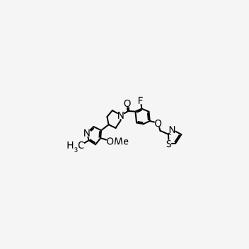 COc1cc(C)ncc1C1CCN(C(=O)c2ccc(OCc3nccs3)cc2F)CC1